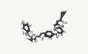 O=C(Cc1cn2nc(Oc3ccc(/C=C/CC(=O)C4(C(=O)Nc5cccc(F)c5)CC4)c(F)c3)ccc2n1)C1CC1